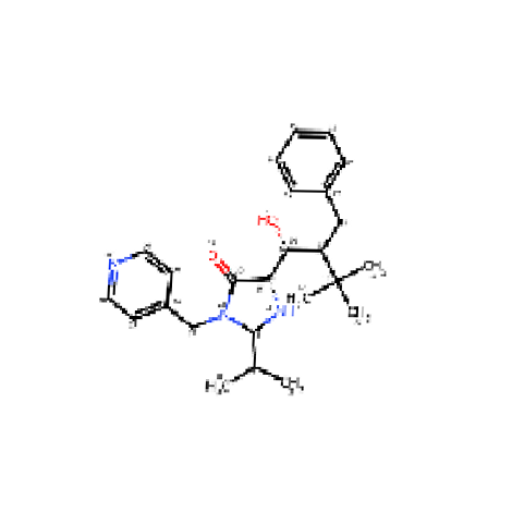 CC(C)C1N[C@@H]([C@H](O)[C](Cc2ccccc2)C(C)(C)C)C(=O)N1Cc1ccncc1